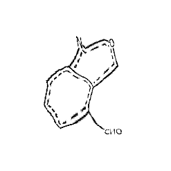 O=Cc1cccc2nocc12